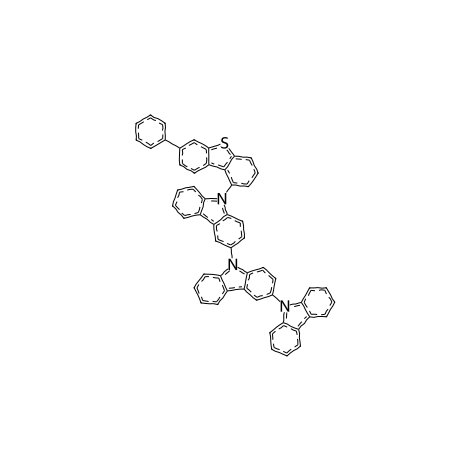 c1ccc(-c2ccc3c(c2)sc2cccc(-n4c5ccccc5c5cc(-n6c7ccccc7c7cc(-n8c9ccccc9c9ccccc98)ccc76)ccc54)c23)cc1